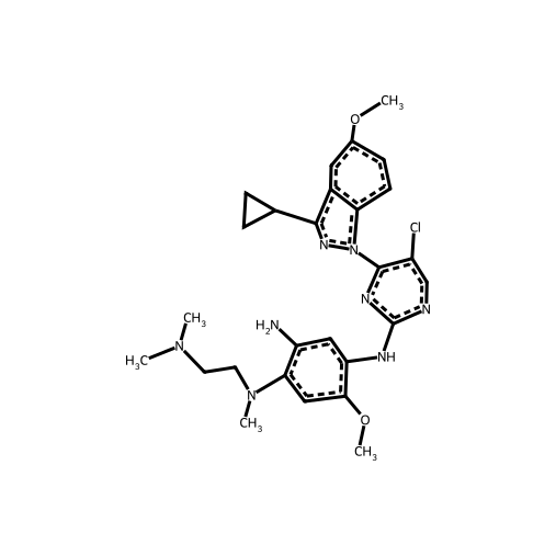 COc1ccc2c(c1)c(C1CC1)nn2-c1nc(Nc2cc(N)c(N(C)CCN(C)C)cc2OC)ncc1Cl